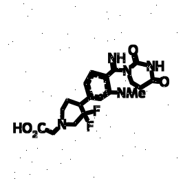 CNc1cc(C2CCN(CC(=O)O)CC2(F)F)ccc1C(=N)N1CCC(=O)NC1=O